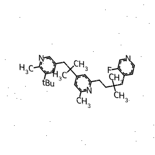 Cc1cc(C(C)(C)Cc2cnc(C)c(C(C)(C)C)c2)cc(CCC(C)(C)Cc2ccncc2F)n1